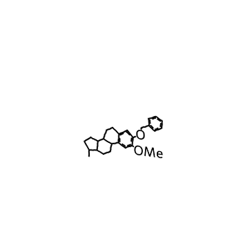 COc1cc2c(cc1OCc1ccccc1)CCC1C2CCC2C(C)CCC21